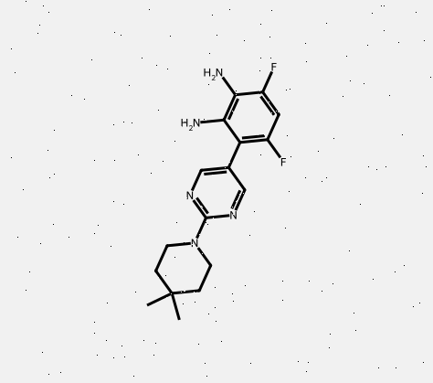 CC1(C)CCN(c2ncc(-c3c(F)cc(F)c(N)c3N)cn2)CC1